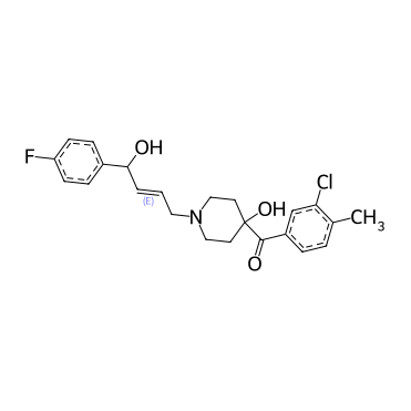 Cc1ccc(C(=O)C2(O)CCN(C/C=C/C(O)c3ccc(F)cc3)CC2)cc1Cl